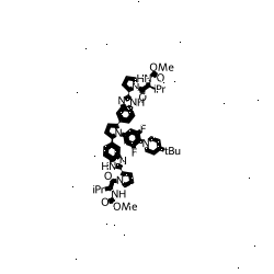 COC(=O)NC(C(=O)N1CCC[C@H]1c1nc2cc([C@H]3CC[C@H](c4ccc5[nH]c([C@@H]6CCCN6C(=O)[C@@H](NC(=O)OC)C(C)C)nc5c4)N3c3cc(F)c(N4CCC(C(C)(C)C)CC4)c(F)c3)ccc2[nH]1)C(C)C